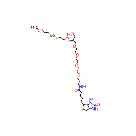 COCCCSSCCCOCC(CO)COCCOCCOCCOCCCNC(=O)CCCCC1SCC2NC(=O)NC21